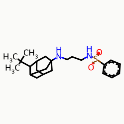 CC(C)(C)C1C2CC3CC1CC(NCCCNS(=O)(=O)c1ccccc1)(C3)C2